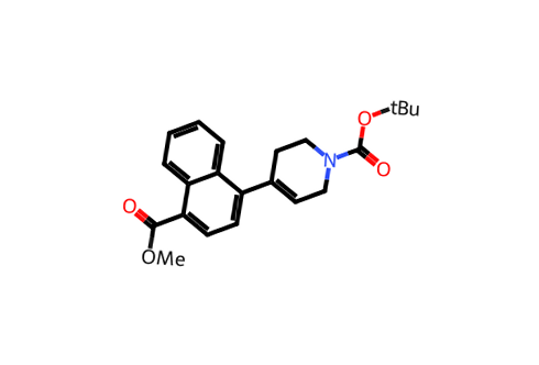 COC(=O)c1ccc(C2=CCN(C(=O)OC(C)(C)C)CC2)c2ccccc12